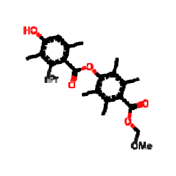 CCCc1c(C)c(O)cc(C)c1C(=O)Oc1c(C)c(C)c(C(=O)OCOC)c(C)c1C